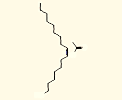 CC(=O)O.CCCCCCCC/C=C\CCCCCCO